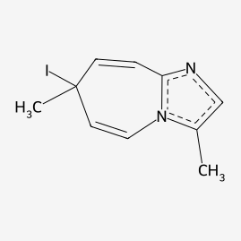 Cc1cnc2n1C=CC(C)(I)C=C2